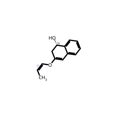 C/C=C\OC1=Cc2ccccc2[C@@H](O)C1